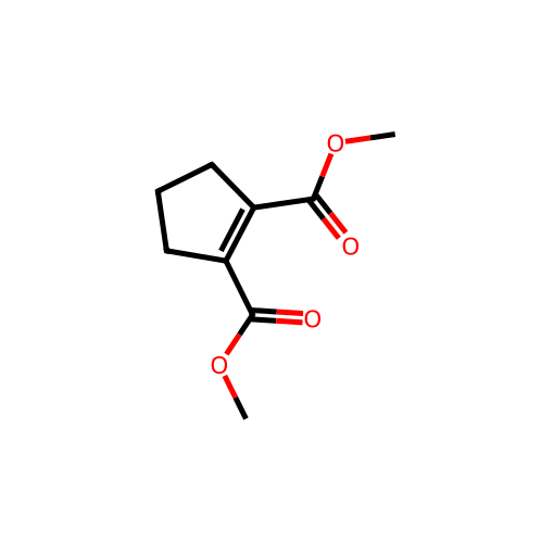 COC(=O)C1=C(C(=O)OC)CCC1